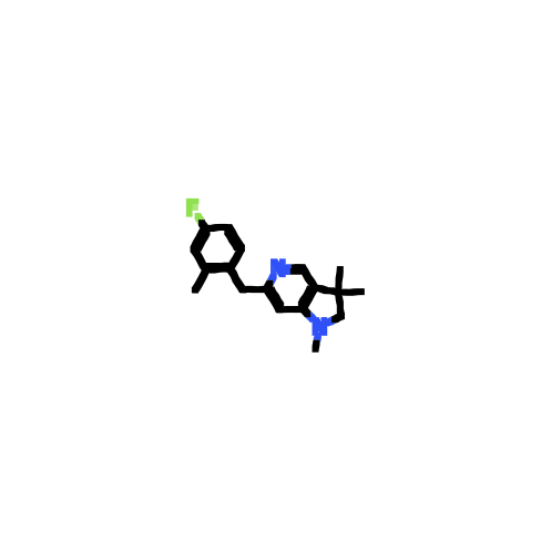 Cc1cc(F)ccc1Cc1cc2c(cn1)C(C)(C)CN2C